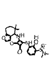 CN(C)[S+]([O-])c1cccc(Nc2c(NC3c4ccoc4CCC3(C)C)c(=O)c2=O)c1O